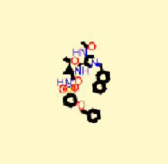 C=C[C@@H]1C[C@]1(NC(=O)[C@@H]1CN(Cc2ccc3ccccc3c2)C[C@@H]1NC(C)=O)C(=O)NS(=O)(=O)c1cccc(OCc2ccccc2)c1